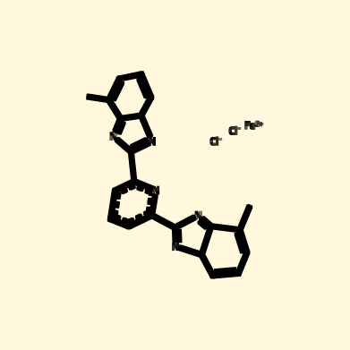 CC1=CC=CC2N=C(c3cccc(C4=NC5C=CC=C(C)C5=N4)n3)N=C12.[Cl-].[Cl-].[Fe+2]